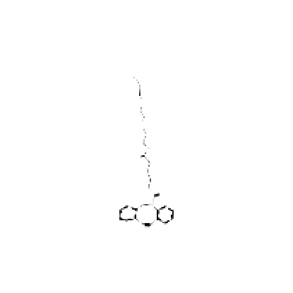 O=C(O)NCCOCCOCCNC(=O)CCCCC(=O)N1Cc2ccccc2C#Cc2ccccc21